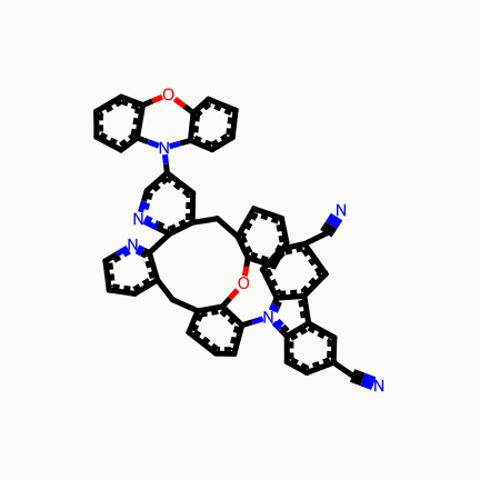 N#Cc1ccc2c(c1)c1cc(C#N)ccc1n2-c1cccc2c1Oc1ccccc1Cc1cc(N3c4ccccc4Oc4ccccc43)cnc1-c1ncccc1C2